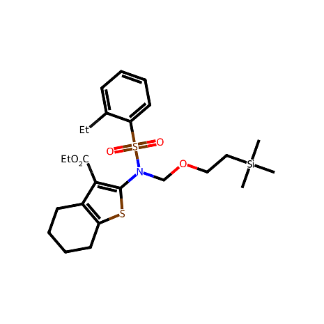 CCOC(=O)c1c(N(COCC[Si](C)(C)C)S(=O)(=O)c2ccccc2CC)sc2c1CCCC2